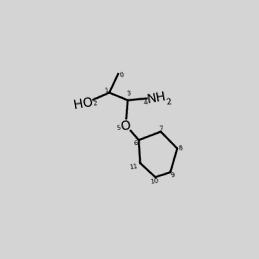 CC(O)C(N)OC1CCCCC1